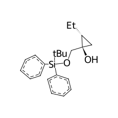 CC[C@@H]1C[C@]1(O)CO[Si](c1ccccc1)(c1ccccc1)C(C)(C)C